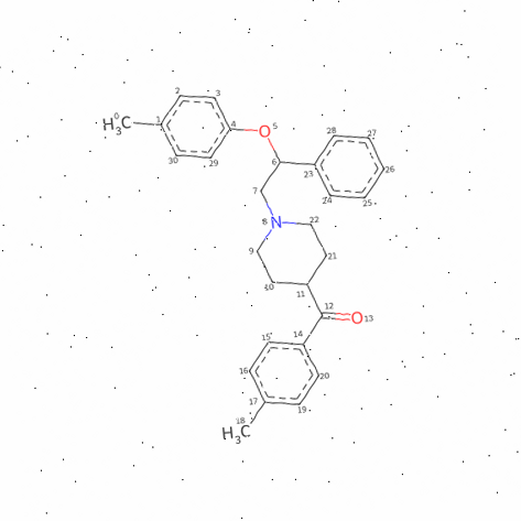 Cc1ccc(OC(CN2CCC(C(=O)c3ccc(C)cc3)CC2)c2ccccc2)cc1